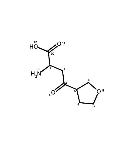 NC(CC(=O)C1CCOC1)C(=O)O